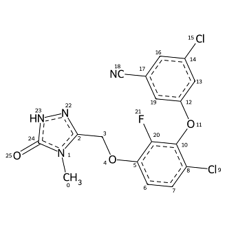 Cn1c(COc2ccc(Cl)c(Oc3cc(Cl)cc(C#N)c3)c2F)n[nH]c1=O